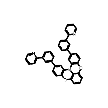 c1ccc(-c2cccc(-c3ccc4c(c3)B3c5cc(-c6cccc(-c7ccccn7)c6)ccc5Oc5cccc(c53)O4)c2)nc1